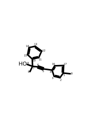 Cc1ccc(C#CC(C)(O)c2ccccc2)cc1